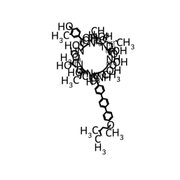 CCC(C)CC(C)Oc1ccc(-c2ccc(-c3ccc(C(=O)N[C@@H]4C(=O)N[C@@](C)([C@H](O)CC)C(=O)N5C[C@H](O)C[C@@]5(C)C(=O)NC([C@H](O)[C@@H](O)c5ccc(O)c(C)c5)C(=O)N[C@@H]([C@H](O)CC)C(=O)N5C(C)[C@H](CC)[C@H](O)[C@H]5C(=O)N[C@H](OO)C(O)C4C)cc3)cc2)cc1